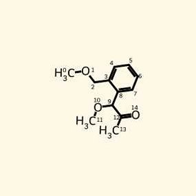 COCc1ccccc1C(OC)C(C)=O